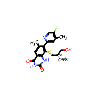 CO[C@@H](CO)CSc1c(-c2cc(C)c(F)cn2)c(C)cc2c(=O)[nH]c(=O)[nH]c12